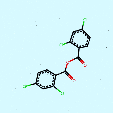 O=C(OC(=O)c1ccc(Cl)cc1Cl)c1ccc(Cl)cc1Cl